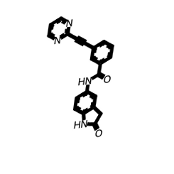 O=C1Cc2cc(NC(=O)c3cccc(C#Cc4ncccn4)c3)ccc2N1